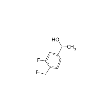 CC(O)c1ccc(CF)c(F)c1